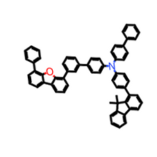 CC1(C)c2ccccc2-c2cccc(-c3ccc(N(c4ccc(-c5ccccc5)cc4)c4ccc(-c5cccc(-c6cccc7c6oc6c(-c8ccccc8)cccc67)c5)cc4)cc3)c21